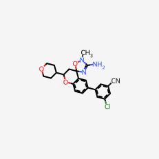 CN1OC2(CC(C3CCOCC3)Oc3ccc(-c4cc(Cl)cc(C#N)c4)cc32)N=C1N